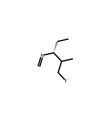 C=N[C@H](CC)C(C)CF